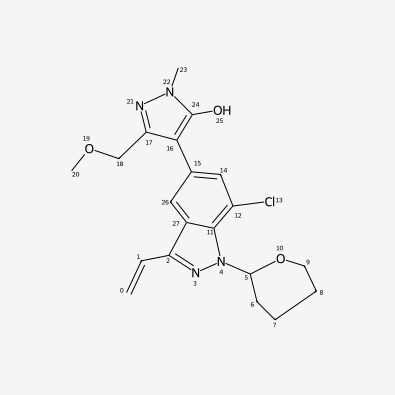 C=Cc1nn(C2CCCCO2)c2c(Cl)cc(-c3c(COC)nn(C)c3O)cc12